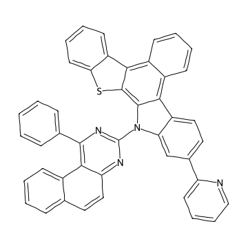 c1ccc(-c2nc(-n3c4cc(-c5ccccn5)ccc4c4c5ccccc5c5c6ccccc6sc5c43)nc3ccc4ccccc4c23)cc1